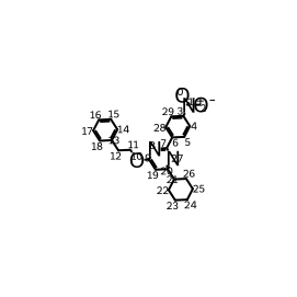 O=[N+]([O-])c1ccc(-c2nc(OCCc3ccccc3)cc(C3CCCCC3)n2)cc1